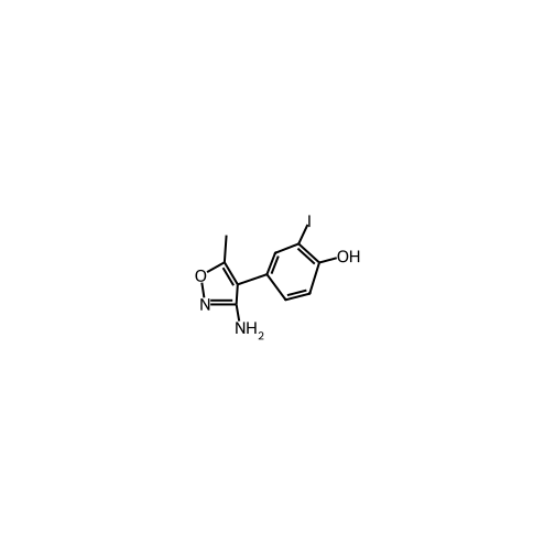 Cc1onc(N)c1-c1ccc(O)c(I)c1